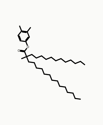 CCCCCCCCCCCCCCC(C)(CCCCCCCCCCCC)C(=O)Oc1ccc(C)c(C)c1